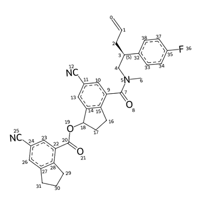 C=CC[C@H](CN(C)C(=O)c1cc(C#N)cc2c1CCC2OC(=O)c1cc(C#N)cc2c1CCC2)c1ccc(F)cc1